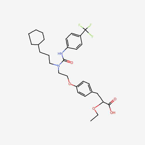 CCOC(Cc1ccc(OCCN(CCCC2CCCCC2)C(=O)Nc2ccc(C(F)(F)F)cc2)cc1)C(=O)O